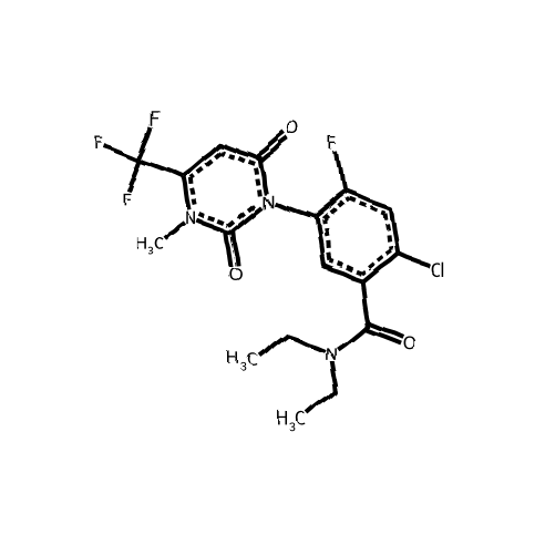 CCN(CC)C(=O)c1cc(-n2c(=O)cc(C(F)(F)F)n(C)c2=O)c(F)cc1Cl